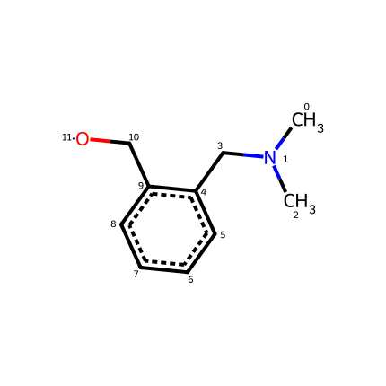 CN(C)Cc1ccccc1C[O]